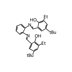 CCc1cc(C(C)(C)C)cc(C=Nc2ccccc2N=Cc2cc(C(C)(C)C)cc(CC)c2O)c1O